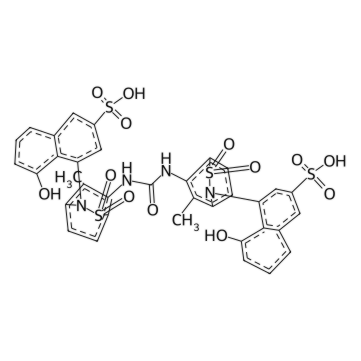 Cc1c2ccc(c1NC(=O)Nc1c3ccc(c1C)N(c1cc(S(=O)(=O)O)cc4cccc(O)c14)S3(=O)=O)S(=O)(=O)N2c1cc(S(=O)(=O)O)cc2cccc(O)c12